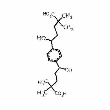 CC(C)(CCC(O)c1ccc(C(O)CCC(C)(C)C(=O)O)cc1)C(=O)O